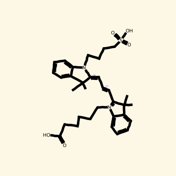 CC1(C)C(/C=C/C=C2/N(CCCCS(=O)(=O)O)c3ccccc3C2(C)C)=[N+](CCCCCC(=O)O)c2ccccc21